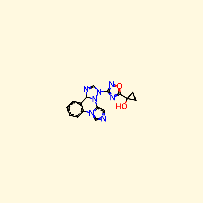 OC1(c2nc(N3C=NC4c5ccccc5-n5cncc5N43)no2)CC1